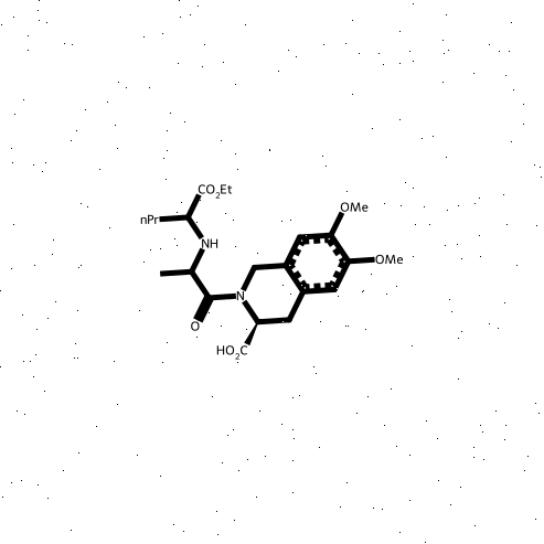 CCCC(NC(C)C(=O)N1Cc2cc(OC)c(OC)cc2C[C@H]1C(=O)O)C(=O)OCC